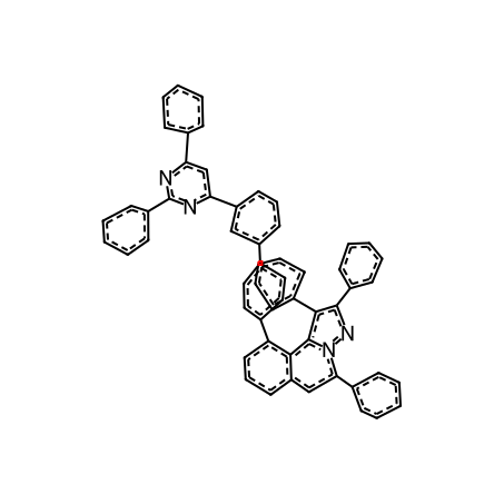 c1ccc(-c2cc(-c3cccc(-c4ccc(-c5cccc6cc(-c7ccccc7)n7nc(-c8ccccc8)c(-c8ccccc8)c7c56)cc4)c3)nc(-c3ccccc3)n2)cc1